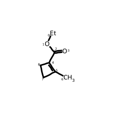 CCOC(=O)C1=C(C)CC1